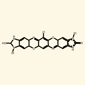 CCN1C2=CC3OC4C=C5N=C6C=c7[nH]c(=O)n(CC)c7=CC6OC5=C(Cl)C4=NC3C=C2NC1O